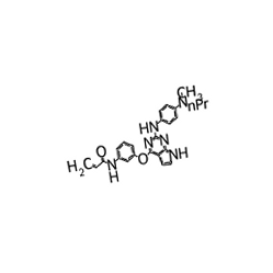 C=CC(=O)Nc1cccc(Oc2nc(Nc3ccc(N(C)CCC)cc3)nc3[nH]ccc23)c1